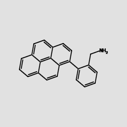 NCc1ccccc1-c1ccc2ccc3cccc4ccc1c2c34